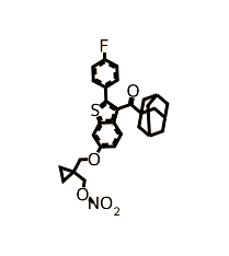 O=C(c1c(-c2ccc(F)cc2)sc2cc(OCC3(CO[N+](=O)[O-])CC3)ccc12)C12CC3CC(CC(C3)C1)C2